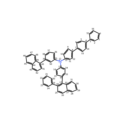 c1ccc(-c2ccc(-c3ccc(N(c4ccc(-c5c(-c6ccccc6)ccc6ccccc56)cc4)c4cccc(-c5cccc6ccccc56)c4)cc3)cc2)cc1